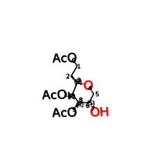 CC(=O)OCC[C@H]1OC[C@H](O)[C@@H](OC(C)=O)[C@@H]1OC(C)=O